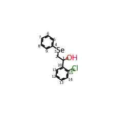 OC(C[Se]c1ccccc1)c1ccccc1Cl